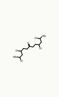 CCCCC(CC)CC(CC)CCC(=O)CCC(CC)CC(CC)CCCC